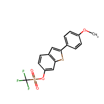 COc1ccc(-c2cc3ccc(OS(=O)(=O)C(F)(F)F)cc3s2)cc1